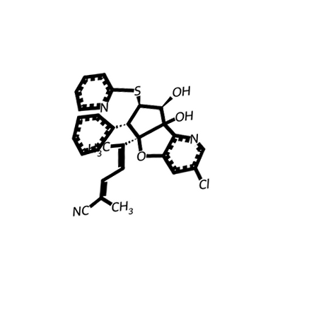 C/C(C#N)=C\C=C(/C)[C@@]12Oc3cc(Cl)cnc3C1(O)[C@H](O)[C@H](Sc1ccccn1)[C@H]2c1ccccc1